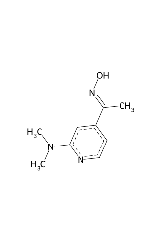 CC(=NO)c1ccnc(N(C)C)c1